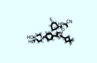 C[C@@H](C#N)NC(=O)[C@@H]1C[C@@H](F)CC[C@H]1c1nc(C2CC(F)(F)C2)sc1-c1ccc(N2CCS(O)(O)CC2)cc1